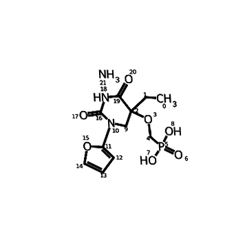 CCC1(OCP(=O)(O)O)CN(c2ccco2)C(=O)NC1=O.N